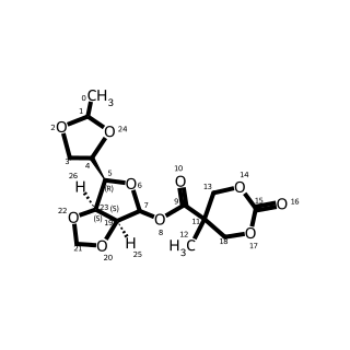 CC1OCC([C@H]2OC(OC(=O)C3(C)COC(=O)OC3)[C@H]3OCO[C@@H]23)O1